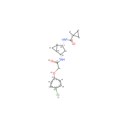 CC1(C(=O)N[C@@H]2C[C@H](NC(=O)COc3ccc(Cl)cc3)C3CC32)CC1